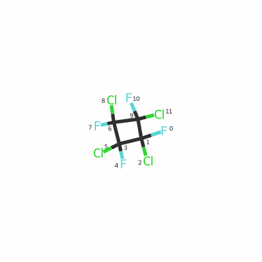 FC1(Cl)C(F)(Cl)C(F)(Cl)C1(F)Cl